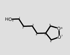 OCCCCC1COOC1